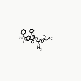 CC(=O)CC(=O)ON=C(N)COc1cn(C2CCCC2)c2cc(NC3CCCCC3)c(F)cc2c1=O